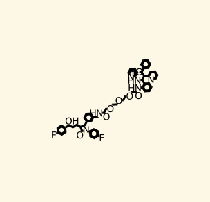 O=C(COCCOCCOCC(=O)Nc1ccccc1C(Nc1ccccn1)C(c1ccccn1)C(O)c1ccccc1)NCc1cccc(C2C(CCC(O)c3ccc(F)cc3)C(=O)N2c2ccc(F)cc2)c1